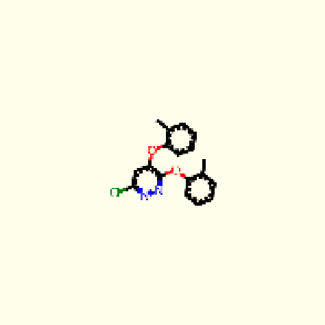 Cc1ccccc1Oc1cc(Cl)nnc1Oc1ccccc1C